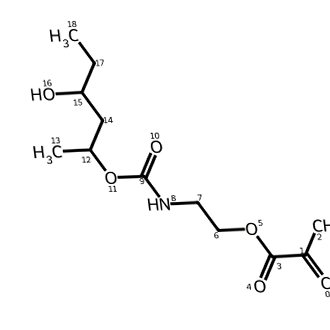 C=C(C)C(=O)OCCNC(=O)OC(C)CC(O)CC